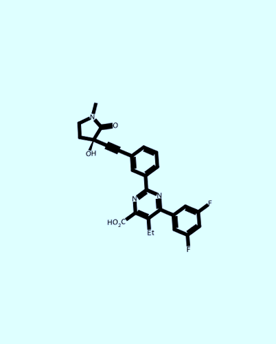 CCc1c(C(=O)O)nc(-c2cccc(C#C[C@]3(O)CCN(C)C3=O)c2)nc1-c1cc(F)cc(F)c1